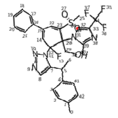 Cc1ccc(C(C)c2cnnn2C2(F)C=C(c3ccccc3)C=C(S(C)(=O)=O)C2(CO)n2cc(C(F)(F)F)nc2C)cc1